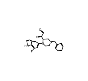 O=CC(=O)C1CN(Cc2ccccc2)CCN1c1cc(F)c2[nH]ccc2c1